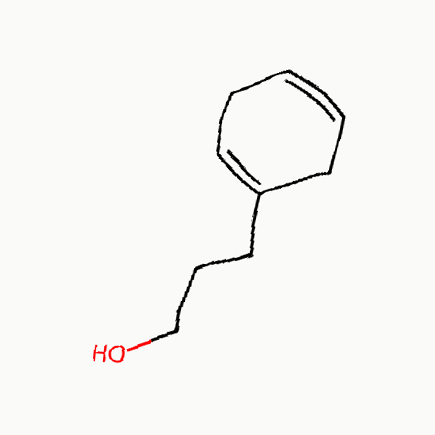 OCCCC1=CCC=CC1